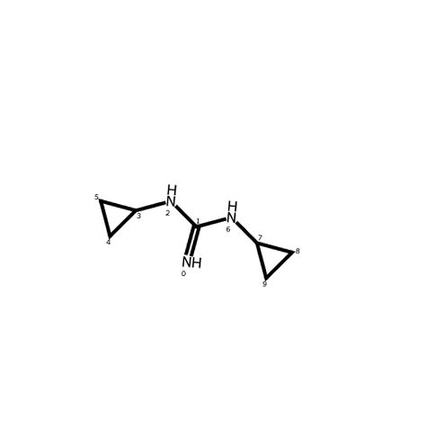 N=C(NC1CC1)NC1CC1